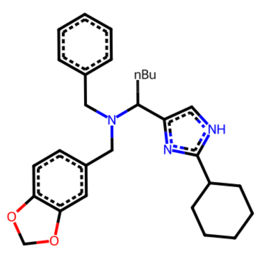 CCCCC(c1c[nH]c(C2CCCCC2)n1)N(Cc1ccccc1)Cc1ccc2c(c1)OCO2